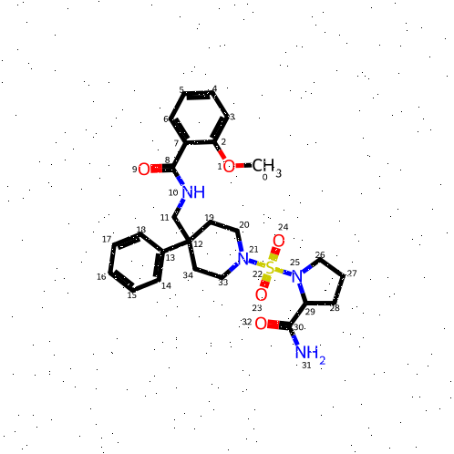 COc1ccccc1C(=O)NCC1(c2ccccc2)CCN(S(=O)(=O)N2CCCC2C(N)=O)CC1